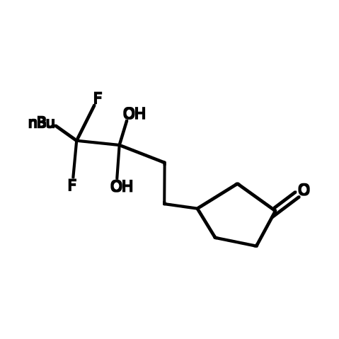 CCCCC(F)(F)C(O)(O)CCC1CCC(=O)C1